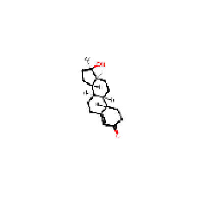 CC(=O)[C@@]1(O)CC[C@H]2[C@@H]3CCC4=CC(=O)CC[C@H]4[C@H]3CC[C@@]21C